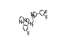 C[C@@H](Cn1cc(-c2ccc(F)c(F)c2)cn1)N(C)C(=O)c1cc(F)ccc1-c1ncccn1